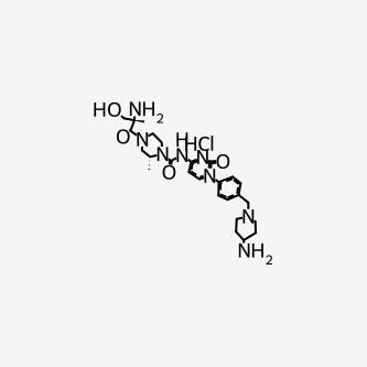 C[C@@H]1CN(C(=O)[C@@](C)(N)CO)CCN1C(=O)Nc1ccn(-c2ccc(CN3CCC(N)CC3)cc2)c(=O)n1.Cl